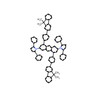 CC1(C)c2ccccc2-c2ccc(-c3ccc(-c4cc(-n5c(-c6ccccc6)ccc5-c5ccccc5)cc5cc6c(-c7ccc(-c8ccc9c(c8)C(C)(C)c8ccccc8-9)cc7)cc(-n7c(-c8ccccc8)ccc7-c7ccccc7)cc6cc45)cc3)cc21